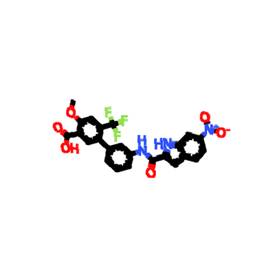 COc1cc(C(F)(F)F)c(-c2cccc(NC(=O)c3cc4ccc([N+](=O)[O-])cc4[nH]3)c2)cc1C(=O)O